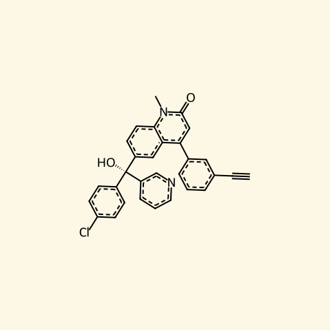 C#Cc1cccc(-c2cc(=O)n(C)c3ccc([C@](O)(c4ccc(Cl)cc4)c4cccnc4)cc23)c1